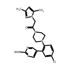 CNc1ncc(-c2cc(Cl)ccc2N2CCN(C(=O)Cn3nc(C)cc3C)CC2)cn1